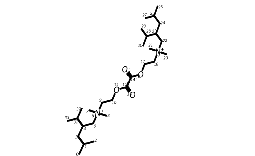 CC(C)CC(C[N+](C)(C)CCOC(=O)C(=O)OCC[N+](C)(C)CC(CC(C)C)C(C)C)C(C)C